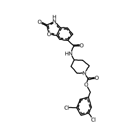 O=C(NC1CCN(C(=O)OCc2cc(Cl)cc(Cl)c2)CC1)c1ccc2[nH]c(=O)oc2c1